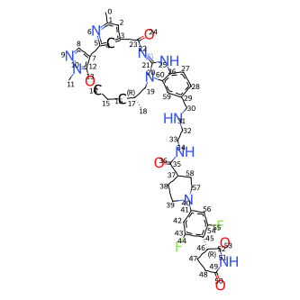 Cc1cc2cc(n1)-c1cnn(C)c1OCCC[C@@H](C)CN1/C(=N/C2=O)Nc2ccc(CNCCNC(=O)C3CCN(c4cc(F)c([C@H]5CCC(=O)NC5=O)c(F)c4)CC3)cc21